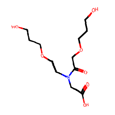 O=C(O)CN(CCOCCCO)C(=O)COCCCO